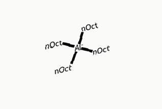 CCCCCCC[CH2][Al-]([CH2]CCCCCCC)([CH2]CCCCCCC)[CH2]CCCCCCC